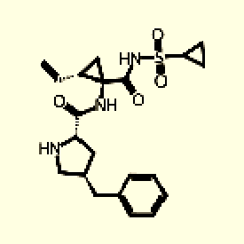 C=C[C@@H]1C[C@]1(NC(=O)[C@@H]1C[C@@H](Cc2ccccc2)CN1)C(=O)NS(=O)(=O)C1CC1